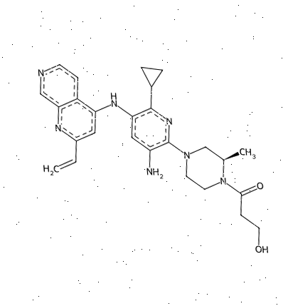 C=Cc1cc(Nc2cc(N)c(N3CCN(C(=O)CCO)[C@H](C)C3)nc2C2CC2)c2ccncc2n1